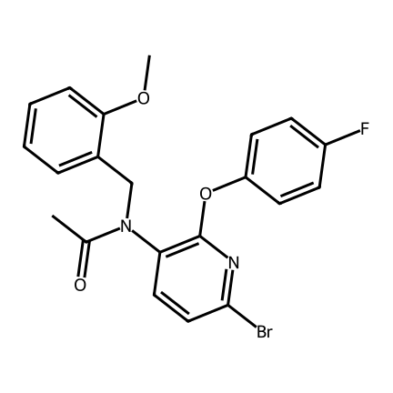 COc1ccccc1CN(C(C)=O)c1ccc(Br)nc1Oc1ccc(F)cc1